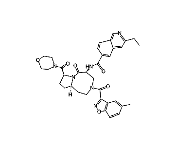 CCc1cc2cc(C(=O)N[C@H]3CN(C(=O)c4noc5ccc(C)cc45)CC[C@H]4CC[C@@H](C(=O)N5CCOCC5)N4C3=O)ccc2cn1